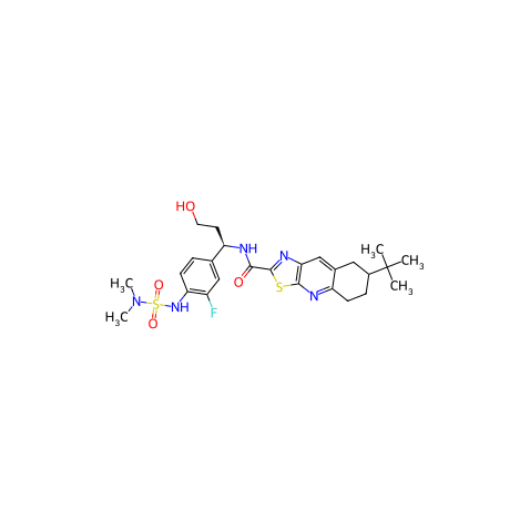 CN(C)S(=O)(=O)Nc1ccc([C@@H](CCO)NC(=O)c2nc3cc4c(nc3s2)CCC(C(C)(C)C)C4)cc1F